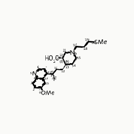 COc1ccc2nccc([C@H](F)CC[C@@H]3CCN(CCCSC)C[C@@H]3C(=O)O)c2c1